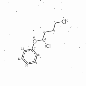 ClCCCC(Cl)Oc1ccccc1